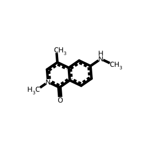 CNc1ccc2c(=O)n(C)cc(C)c2c1